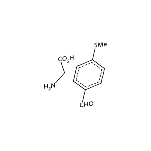 CSc1ccc(C=O)cc1.NCC(=O)O